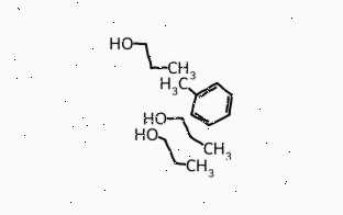 CCCO.CCCO.CCCO.Cc1ccccc1